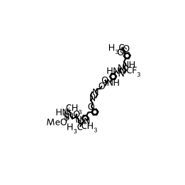 COC[C@H]1CN[C@H](C)CN1CC(=O)N1CC(C)(C)c2ncc(Cc3ccccc3OCCN3CCN(CCOCC(=O)Nc4ccc(Nc5ncc(C(F)(F)F)c(NCc6cccc(S(C)(=O)=O)c6)n5)cc4)CC3)cc21